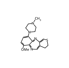 COc1ccc(N2CCN(C)CC2)c2c1=NC=C1CCSC=C1N=2